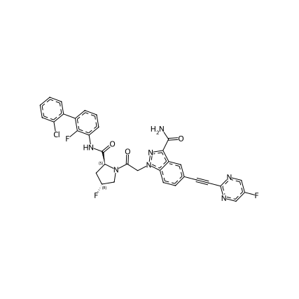 NC(=O)c1nn(CC(=O)N2C[C@H](F)C[C@H]2C(=O)Nc2cccc(-c3ccccc3Cl)c2F)c2ccc(C#Cc3ncc(F)cn3)cc12